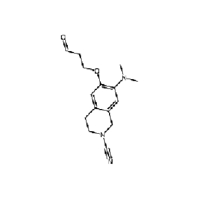 CN(C)c1cc2c(cc1OCCC=O)CCN(C#N)C2